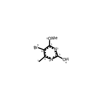 COc1nc(O)nc(C)c1Br